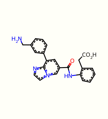 NCc1cccc(-c2cc(C(=O)Nc3ccccc3CC(=O)O)cn3ccnc23)c1